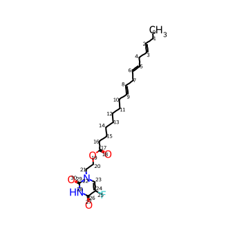 CCC=CCC=CCC=CCCCCCCCC(=O)OCCn1cc(F)c(=O)[nH]c1=O